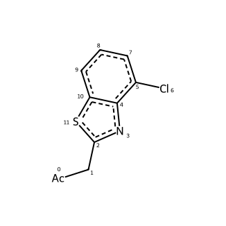 CC(=O)Cc1nc2c(Cl)cccc2s1